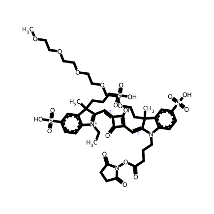 CC[N+]1=C(/C=C2\C(=O)C(/C=C3/N(CCCC(=O)ON4C(=O)CCC4=O)c4ccc(S(=O)(=O)O)cc4C3(C)CCOCCOCCOCCOCCOC)=C2O)C(C)(CCCS(=O)(=O)O)c2cc(S(=O)(=O)O)ccc21